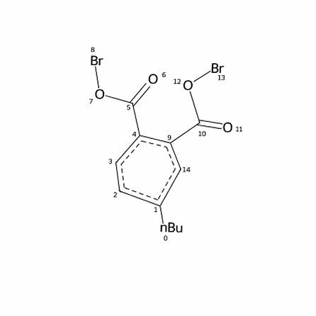 CCCCc1ccc(C(=O)OBr)c(C(=O)OBr)c1